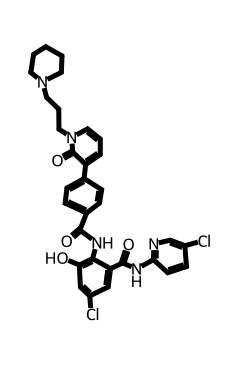 O=C(Nc1c(O)cc(Cl)cc1C(=O)Nc1ccc(Cl)cn1)c1ccc(-c2cccn(CCCN3CCCCC3)c2=O)cc1